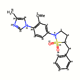 COc1cc(N2CCC(Cc3ccccc3)S2(=O)=O)ccc1-n1cnc(C)c1